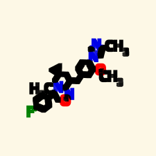 COc1cc(/C=C2\CC3(CC3)CN3C2=NOCC3(C)c2ccc(F)cc2)ccc1-n1cnc(C)c1